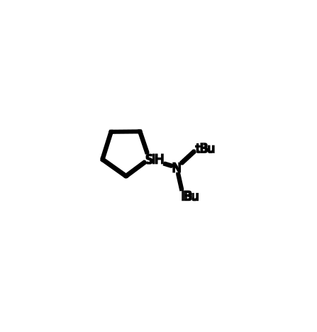 CCC(C)N([SiH]1CCCC1)C(C)(C)C